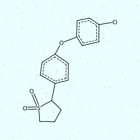 O=S1(=O)CCCC1c1ccc(Oc2ccc(Cl)cc2)cc1